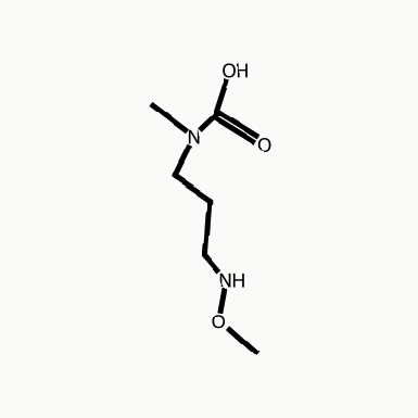 CONCCCN(C)C(=O)O